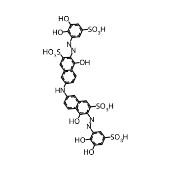 O=S(=O)(O)c1cc(O)c(O)c(N=Nc2c(S(=O)(=O)O)cc3cc(Nc4ccc5c(O)c(N=Nc6cc(S(=O)(=O)O)cc(O)c6O)c(S(=O)(=O)O)cc5c4)ccc3c2O)c1